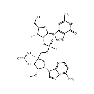 CO[C@H]1[C@@H](n2cnc3c(N)ncnc32)O[C@](C)(COP(=O)(S)O[C@@H]2[C@H](F)[C@@H](CO)O[C@H]2n2cnc3c(=O)[nH]c(N)nc32)[C@H]1O[PH](=O)S